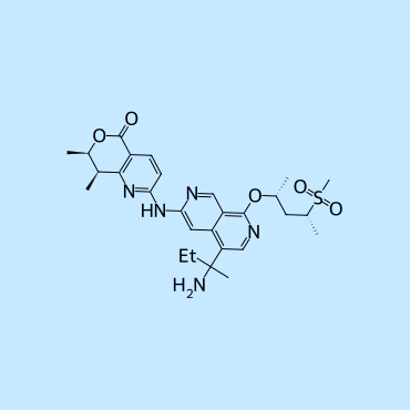 CCC(C)(N)c1cnc(O[C@H](C)C[C@@H](C)S(C)(=O)=O)c2cnc(Nc3ccc4c(n3)[C@@H](C)[C@@H](C)OC4=O)cc12